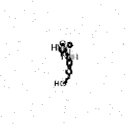 O=C1NCc2cnc(Nc3ccc(N4CCC(CCCO)CC4)cc3)nc2N1C1CCCC1